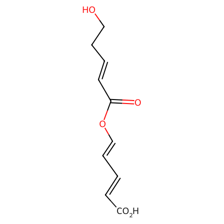 O=C(O)/C=C/C=C/OC(=O)/C=C/CCO